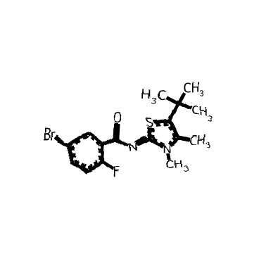 Cc1c(C(C)(C)C)s/c(=N\C(=O)c2cc(Br)ccc2F)n1C